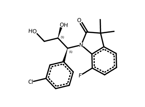 CC1(C)C(=O)N([C@@H](c2cccc(Cl)c2)[C@H](O)CO)c2c(F)cccc21